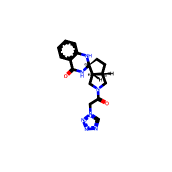 O=C1N[C@]2(CC[C@@H]3CN(C(=O)Cn4cnnn4)C[C@@H]32)Nc2ccccc21